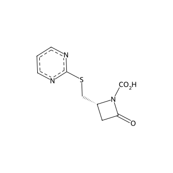 O=C(O)N1C(=O)C[C@@H]1CSc1ncccn1